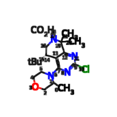 CC1COCCN1c1nc(Cl)nc2c1[C@H](C(C)(C)C)CN(C(=O)O)C2(C)C